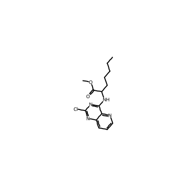 CCCCCC(Nc1nc(Cl)nc2cccnc12)C(=O)OC